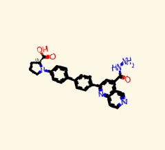 NNC(=O)c1cc(-c2ccc(-c3ccc(N4CCC[C@H]4C(=O)O)cc3)cc2)nc2ccncc12